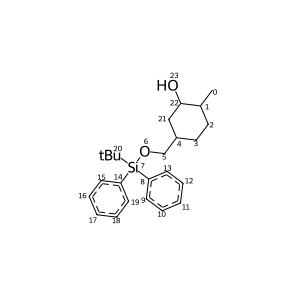 CC1CCC(CO[Si](c2ccccc2)(c2ccccc2)C(C)(C)C)CC1O